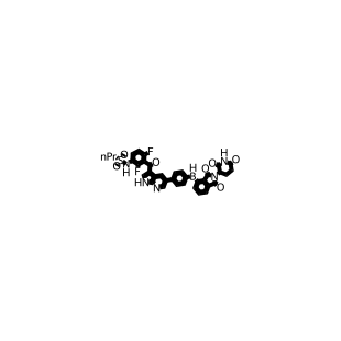 CCCS(=O)(=O)Nc1ccc(F)c(C(=O)c2c[nH]c3ncc(-c4ccc(Bc5cccc6c5C(=O)N(C5CCC(=O)NC5=O)C6=O)cc4)cc23)c1F